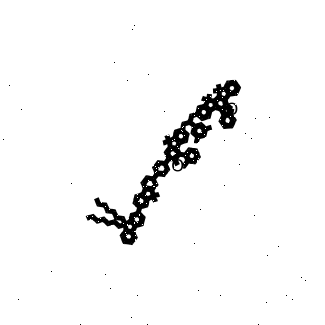 CCCCCCCC1(CCCCCCC)c2ccccc2-c2ccc(-c3ccc4c(c3)C(C)(C)C3=C4C=CC(C4=CCC(c5cc6c(c7c5OCc5ccccc5-7)-c5ccc(CC(Cc7ccc8c(c7)C(C)(C)c7c9c(c%10oc%11ccccc%11c%10c7-8)-c7ccccc7C9(C)C)c7cc(C)cc(C)c7)cc5C6(C)C)C=C4)C3)cc21